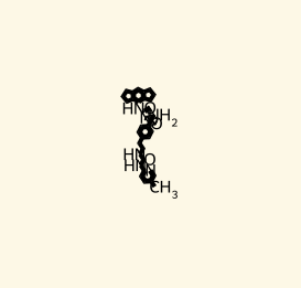 Cc1ccc(NC(=O)NCCc2ccc(S(N)(=O)=NC(=O)Nc3c4c(cc5c3CCC5)CCC4)cc2)nc1